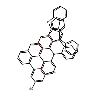 CC(C)(C)c1cc(-c2cccc3cccc(-c4ccccc4N(c4ccccc4-c4ccc5c(c4)C4C=CC=CC4O5)c4cccc5c6ccccc6n(-c6ccccc6)c45)c23)cc(C(C)(C)C)c1